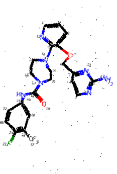 Nc1nccc(COc2cccnc2N2CCN(C(=O)Nc3ccc(F)c(C(F)(F)F)c3)CC2)n1